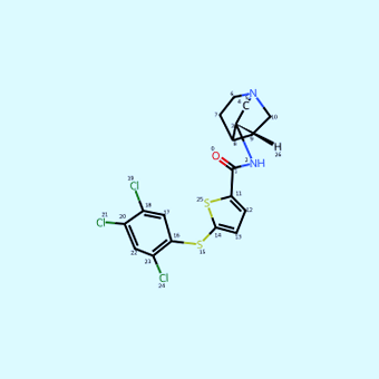 O=C(N[C@H]1CN2CCC1CC2)c1ccc(Sc2cc(Cl)c(Cl)cc2Cl)s1